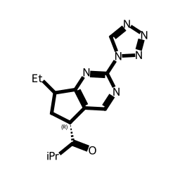 CCC1C[C@@H](C(=O)C(C)C)c2cnc(-n3cnnn3)nc21